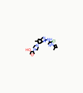 CC1=C(n2ncc(Nc3ncc4cc(C)c(N5CCN(C6COCC6O)CC5)cc4n3)c2Cl)CC1